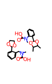 CC1OC(c2ccccc2N(C)C(=O)O)OC1C.CN(Cc1ccccc1C1OCCO1)C(=O)O